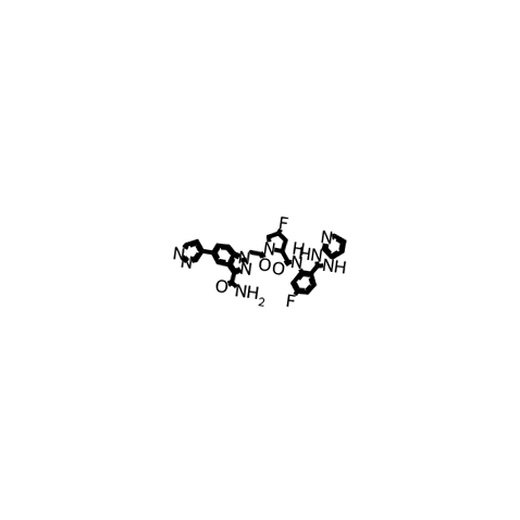 NC(=O)c1nn(CC(=O)N2CC(F)CC2C(=O)Nc2cc(F)ccc2C2Nc3cccnc3N2)c2ccc(-c3ccnnc3)cc12